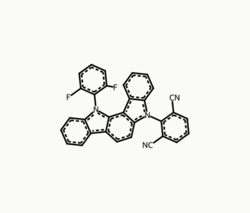 N#Cc1cccc(C#N)c1-n1c2ccccc2c2c1ccc1c3ccccc3n(-c3c(F)cccc3F)c12